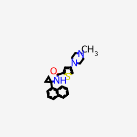 CN1CCN(c2csc(C(=O)NC3(c4cccc5ccccc45)CC3)c2)CC1